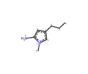 CCCc1cc(N)n(C)c1